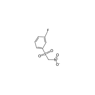 O=[N+]([O-])CS(=O)(=O)c1cccc(F)c1